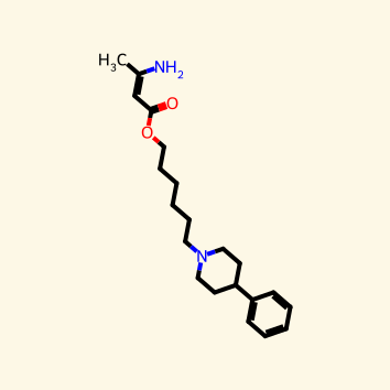 C/C(N)=C/C(=O)OCCCCCCN1CCC(c2ccccc2)CC1